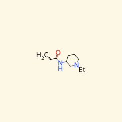 C=CC(=O)NC1CCCN(CC)C1